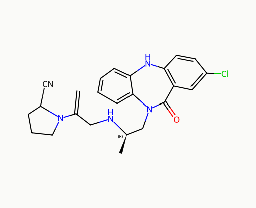 C=C(CN[C@H](C)CN1C(=O)c2cc(Cl)ccc2Nc2ccccc21)N1CCCC1C#N